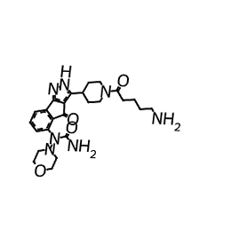 NCCCCC(=O)N1CCC(c2[nH]nc3c2C(=O)c2c-3cccc2N(C(N)=O)N2CCOCC2)CC1